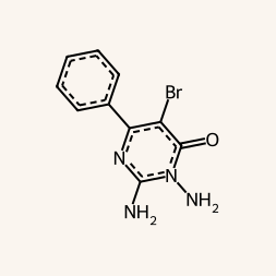 Nc1nc(-c2ccccc2)c(Br)c(=O)n1N